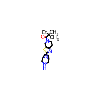 CCC(C)(C)C(=O)N1CCc2nc(N3C4CCC3CNC4)sc2C1